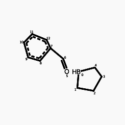 B1CCCC1.O=Cc1ccccc1